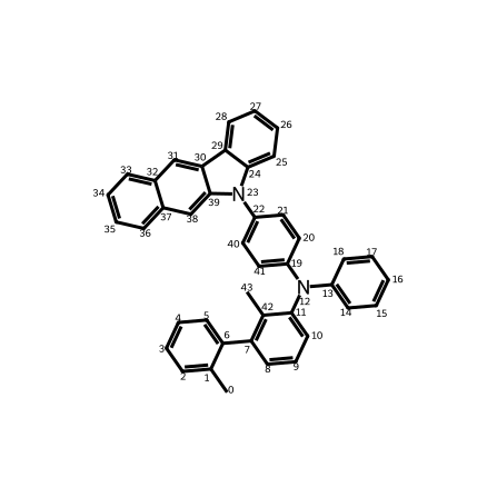 Cc1ccccc1-c1cccc(N(c2ccccc2)c2ccc(-n3c4ccccc4c4cc5ccccc5cc43)cc2)c1C